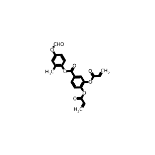 C=CC(=O)Oc1ccc(C(=O)Oc2ccc(OC=O)cc2C)cc1OC(=O)C=C